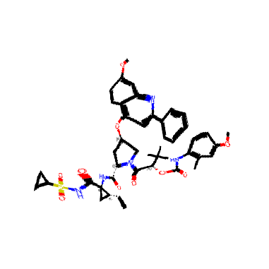 C=C[C@@H]1C[C@]1(NC(=O)[C@@H]1C[C@@H](Oc2cc(-c3ccccc3)nc3cc(OC)ccc23)CN1C(=O)[C@@H](OC(=O)Nc1ccc(OC)cc1C)C(C)(C)C)C(=O)NS(=O)(=O)C1CC1